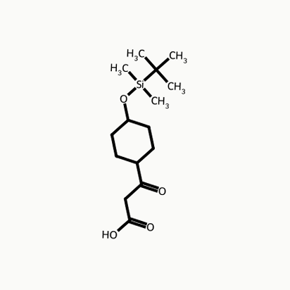 CC(C)(C)[Si](C)(C)OC1CCC(C(=O)CC(=O)O)CC1